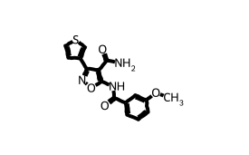 COc1cccc(C(=O)Nc2onc(-c3ccsc3)c2C(N)=O)c1